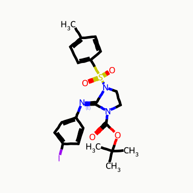 Cc1ccc(S(=O)(=O)N2CCN(C(=O)OC(C)(C)C)/C2=N\c2ccc(I)cc2)cc1